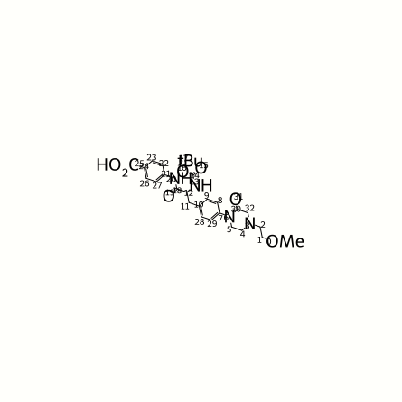 COCCN1CCN(c2ccc(CC(NC(=O)OC(C)(C)C)C(=O)Nc3ccc(C(=O)O)cc3)cc2)C(=O)C1